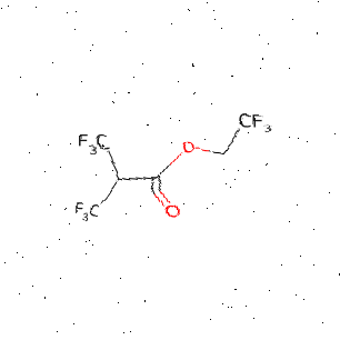 O=C(OCC(F)(F)F)C(C(F)(F)F)C(F)(F)F